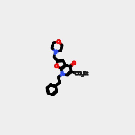 CCOC(=O)c1cn(CCc2ccccc2)c2oc(CN3CCOCC3)cc2c1=O